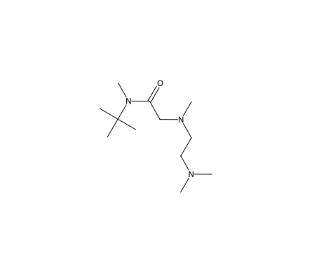 CN(C)CCN(C)CC(=O)N(C)C(C)(C)C